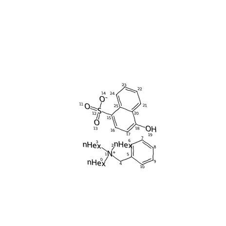 CCCCCC[N+](CCCCCC)(CCCCCC)Cc1ccccc1.O=S(=O)([O-])c1ccc(O)c2ccccc12